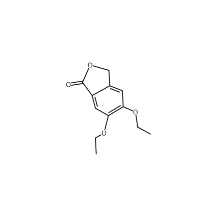 CCOc1cc2c(cc1OCC)C(=O)OC2